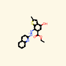 CCOC(=O)c1cc(O)c2cc(C)sc2c1/N=N/c1ccc2ccccc2n1